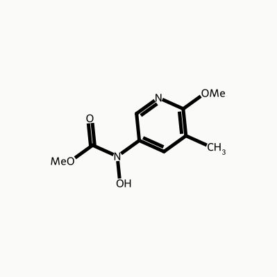 COC(=O)N(O)c1cnc(OC)c(C)c1